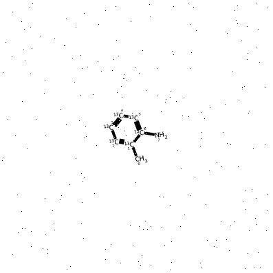 C[13c]1[13cH][13cH][13cH][13cH][13c]1N